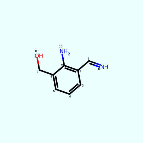 N=Cc1cccc(CO)c1N